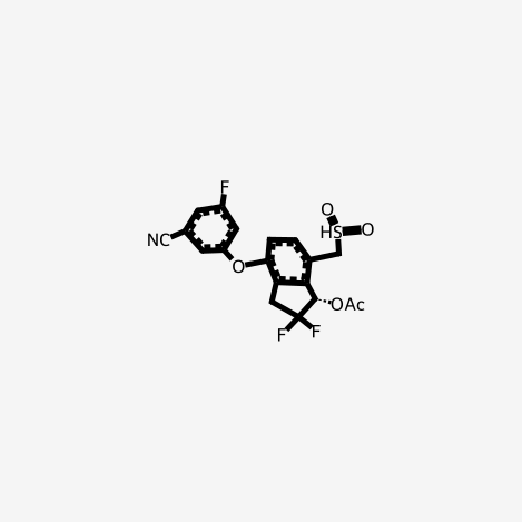 CC(=O)O[C@H]1c2c(C[SH](=O)=O)ccc(Oc3cc(F)cc(C#N)c3)c2CC1(F)F